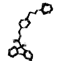 O=C(OCC1CCN(CCCc2cnccn2)CC1)C1(O)c2ccccc2-c2ccccc21